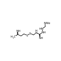 CNCNNC(=N)NCSSCCC(C)=N